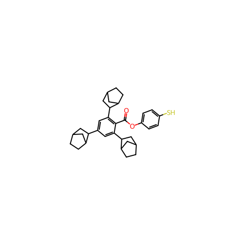 O=C(Oc1ccc(S)cc1)c1c(C2CC3CCC2C3)cc(C2CC3CCC2C3)cc1C1CC2CCC1C2